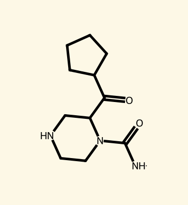 [NH]C(=O)N1CCNCC1C(=O)C1CCCC1